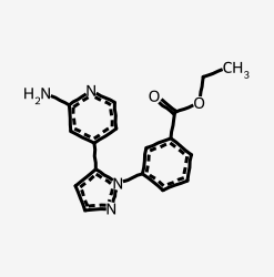 CCOC(=O)c1cccc(-n2nccc2-c2ccnc(N)c2)c1